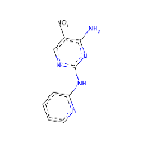 Nc1nc(Nc2ccccn2)ncc1[N+](=O)[O-]